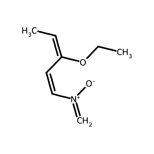 C=[N+]([O-])/C=C\C(=C/C)OCC